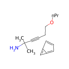 CCCOCCC#CC(C)(C)N.c1cc2cc-2c1